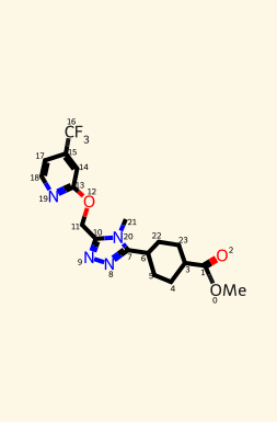 COC(=O)C1CCC(c2nnc(COc3cc(C(F)(F)F)ccn3)n2C)CC1